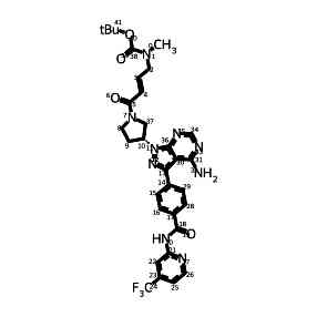 CN(C/C=C/C(=O)N1CC[C@@H](n2nc(-c3ccc(C(=O)Nc4cc(C(F)(F)F)ccn4)cc3)c3c(N)ncnc32)C1)C(=O)OC(C)(C)C